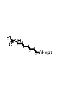 CCCCCCCCCCCCCCNC(=O)CC